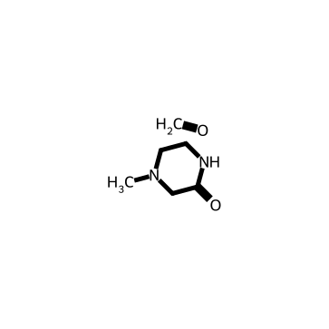 C=O.CN1CCNC(=O)C1